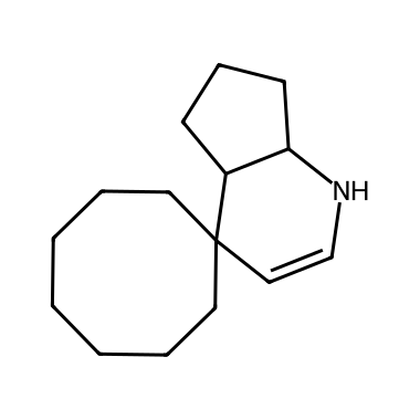 C1=CC2(CCCCCCC2)C2CCCC2N1